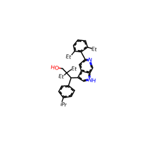 CCc1cccc(CC)c1-c1cc2c(C(c3ccc(C(C)C)cc3)C(CC)(CC)CO)c[nH]c2cn1